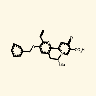 C=Cc1nc2c(cc1OCc1ccccc1)C[C@@H](C(C)(C)C)n1cc(C(=O)O)c(=O)cc1-2